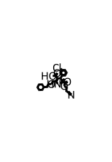 CC1(C(=O)OCCC#N)CNC(COCCC2CCCCC2)=C(C(=O)O)C1c1cccc(Cl)c1